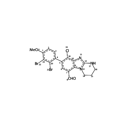 COc1ccc(-c2cc(C=O)c3c(nc4n3CCCN4)c2Cl)c(Br)c1Br